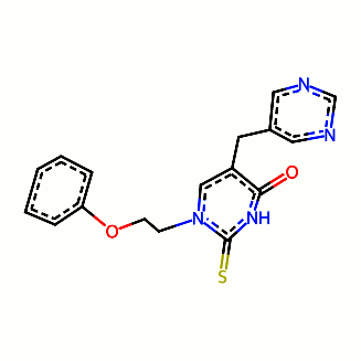 O=c1[nH]c(=S)n(CCOc2ccccc2)cc1Cc1cncnc1